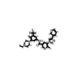 CCN1CCN(c2cc(NC(=O)c3cnc(C)c(-n4cc(-c5cccnc5)nn4)c3)cc(C(F)(F)F)c2C)CC1